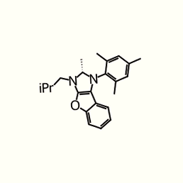 Cc1cc(C)c(N2c3c(oc4ccccc34)N(CC(C)C)[C@@H]2C)c(C)c1